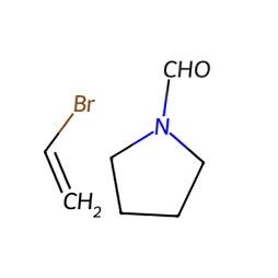 C=CBr.O=CN1CCCC1